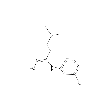 CC(C)CC/C(=N/O)Nc1cccc(Cl)c1